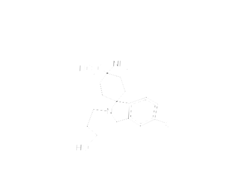 C[C@@H](CO)CN1Cc2cc(Cl)ccc2C12CCC(N)(C(=O)O)CC2